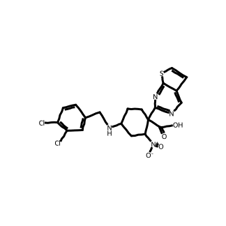 O=C(O)C1(c2ncc3ccsc3n2)CCC(NCc2ccc(Cl)c(Cl)c2)CC1[N+](=O)[O-]